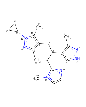 Cc1n[nH]cc1[C](Cc1c(C)nn(C2CC2)c1C)Cc1nccn1C